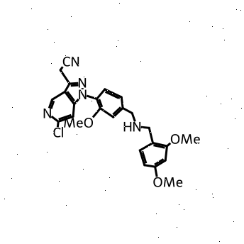 COc1ccc(CNCc2ccc(-n3nc(CC#N)c4cnc(Cl)cc43)c(OC)c2)c(OC)c1